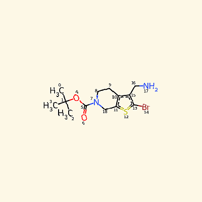 CC(C)(C)OC(=O)N1CCc2c(sc(Br)c2CN)C1